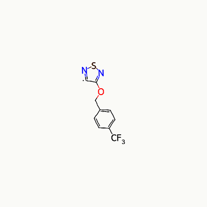 FC(F)(F)c1ccc(COc2[c]nsn2)cc1